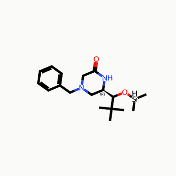 C[SiH](C)OC([C@H]1CN(Cc2ccccc2)CC(=O)N1)C(C)(C)C